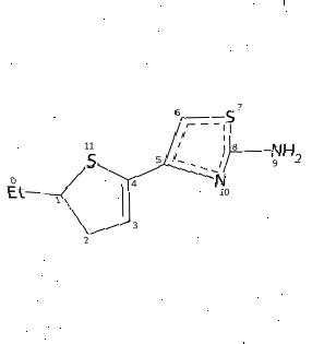 CCC1CC=C(c2csc(N)n2)S1